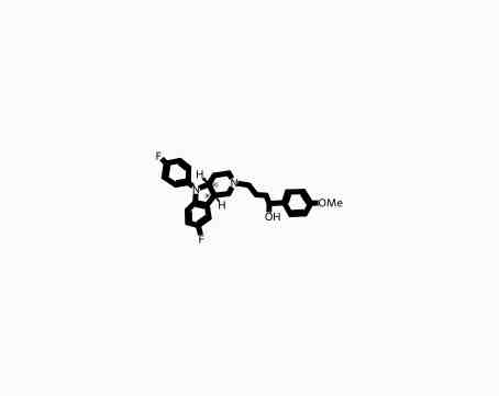 COc1ccc(C(O)CCCN2CC[C@@H]3[C@@H](C2)c2cc(F)ccc2N3c2ccc(F)cc2)cc1